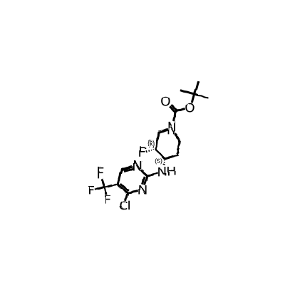 CC(C)(C)OC(=O)N1CC[C@H](Nc2ncc(C(F)(F)F)c(Cl)n2)[C@H](F)C1